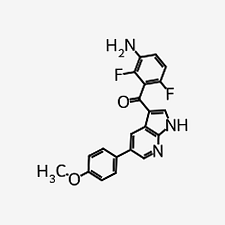 COc1ccc(-c2cnc3[nH]cc(C(=O)c4c(F)ccc(N)c4F)c3c2)cc1